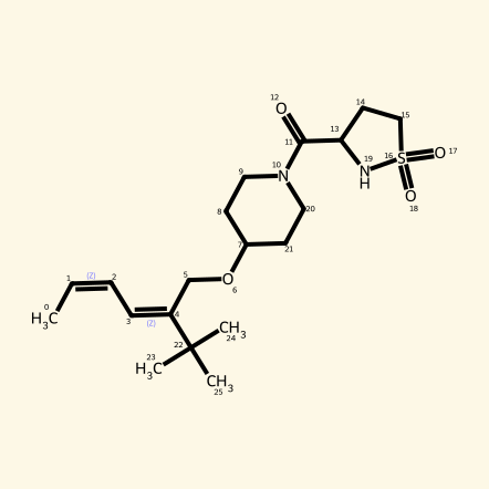 C/C=C\C=C(/COC1CCN(C(=O)C2CCS(=O)(=O)N2)CC1)C(C)(C)C